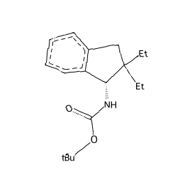 CCC1(CC)Cc2ccccc2[C@H]1NC(=O)OC(C)(C)C